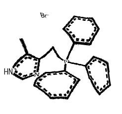 Cc1[nH]cnc1C[P+](c1ccccc1)(c1ccccc1)c1ccccc1.[Br-]